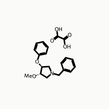 CO[C@H]1CN(Cc2ccccc2)C[C@@H]1Oc1ccccc1.O=C(O)C(=O)O